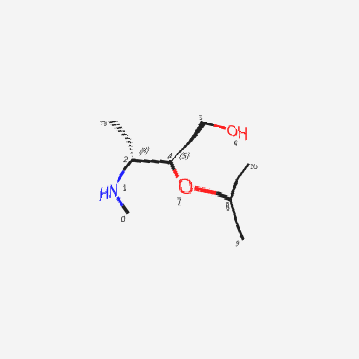 CN[C@H](C)[C@@H](CO)OC(C)C